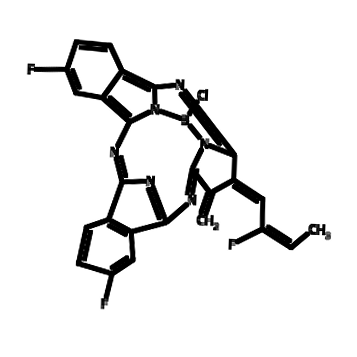 C=c1/c(=C\C(F)=C/C)c2n3/c1=N/C1=NC(=N\c4c5cc(F)ccc5c(n4B3Cl)N=2)/c2ccc(F)cc21